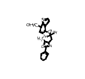 [2H]C([2H])(Cc1nc(-c2ccccc2)oc1C)Oc1ccc(C=O)c2sccc12